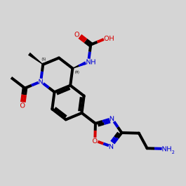 CC(=O)N1c2ccc(-c3nc(CCN)no3)cc2[C@H](NC(=O)O)C[C@@H]1C